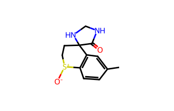 Cc1ccc2c(c1)C1(CC[S+]2[O-])NCNC1=O